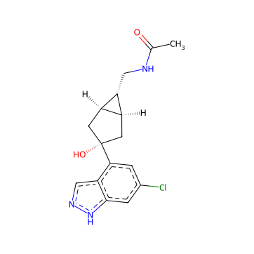 CC(=O)NC[C@@H]1[C@H]2C[C@@](O)(c3cc(Cl)cc4[nH]ncc34)C[C@@H]12